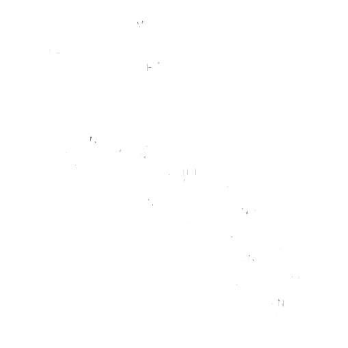 COCc1c(F)cc(-n2ccc3cnc(Nc4ccc(N5CCN(C)CC5)nc4)nc32)cc1F